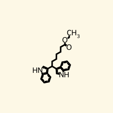 CCOC(=O)CCCCCC(c1c[nH]c2ccccc12)c1c[nH]c2ccccc12